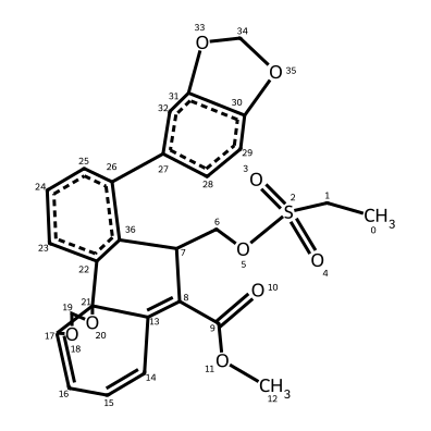 CCS(=O)(=O)OCC1C(C(=O)OC)=C2C=CC=C3OCOC32c2cccc(-c3ccc4c(c3)OCO4)c21